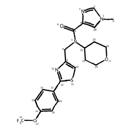 Cn1cnc(C(=O)N(Cc2csc(-c3ccc(OC(F)(F)F)cc3)n2)C2CCOCC2)c1